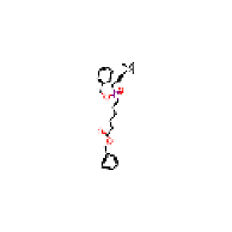 C[Si](C)(C)C#CCP(=O)(CCCCCC(=O)OCc1ccccc1)OCc1ccccc1